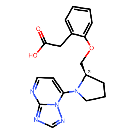 O=C(O)Cc1ccccc1OC[C@H]1CCCN1c1ccnc2ncnn12